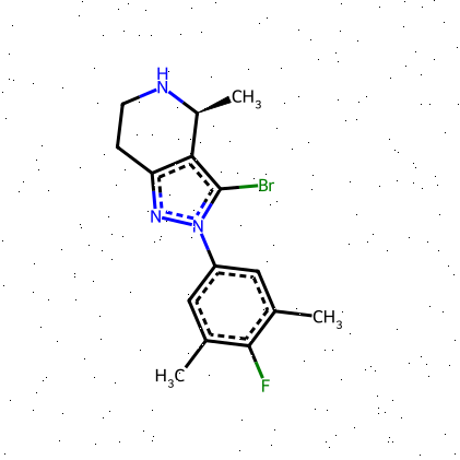 Cc1cc(-n2nc3c(c2Br)[C@H](C)NCC3)cc(C)c1F